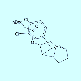 CCCCCCCCCCCC(=O)OC1CN2C3CCC2C1C(c1ccc(Cl)c(Cl)c1)C3